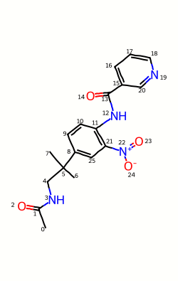 CC(=O)NCC(C)(C)c1ccc(NC(=O)c2cccnc2)c([N+](=O)[O-])c1